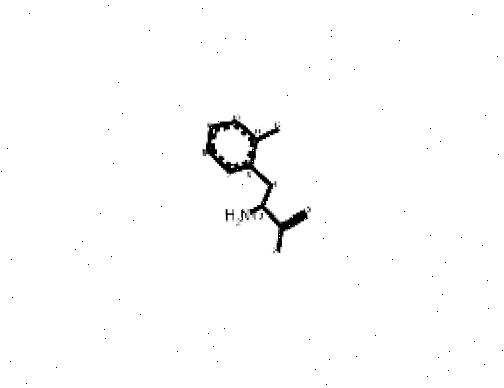 C=C(C)C(N)Cc1ccccc1C